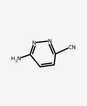 N#Cc1ccc(N)nn1